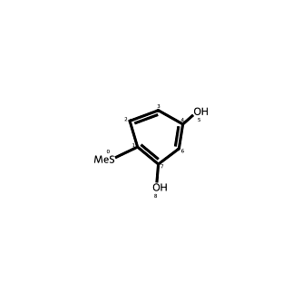 CSc1ccc(O)cc1O